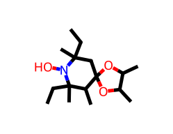 CCC1(C)CC2(OC(C)C(C)O2)C(C)C(C)(CC)N1O